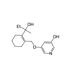 CCC(C)(O)C1=C(COc2cncc(O)c2)CCCC1